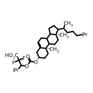 CC(C)CCCC(C)C1CCC2C3CC=C4C[C@@H](OC(=O)OC(C(C)C)C(F)(F)C(=O)O)CC[C@]4(C)C3CC[C@]12C